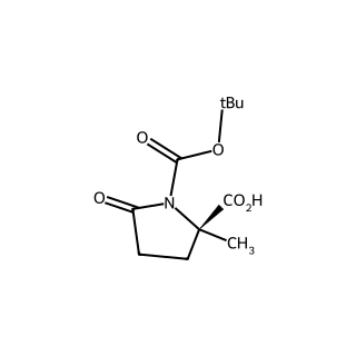 CC(C)(C)OC(=O)N1C(=O)CC[C@]1(C)C(=O)O